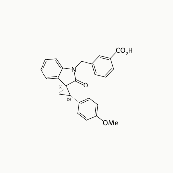 COc1ccc([C@@H]2C[C@]23C(=O)N(Cc2cccc(C(=O)O)c2)c2ccccc23)cc1